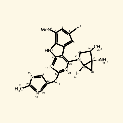 CNc1cc(F)cc2c1[nH]c1nc(Oc3cnc(C)nc3)nc(N3C[C@@H](C)[C@@]4(N)C[C@H]34)c12